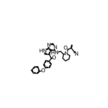 C=C(C#N)C(=O)N1CCCCC1CNc1ncnc2[nH]cc(C(=O)c3ccc(Oc4ccccc4)cc3)c12